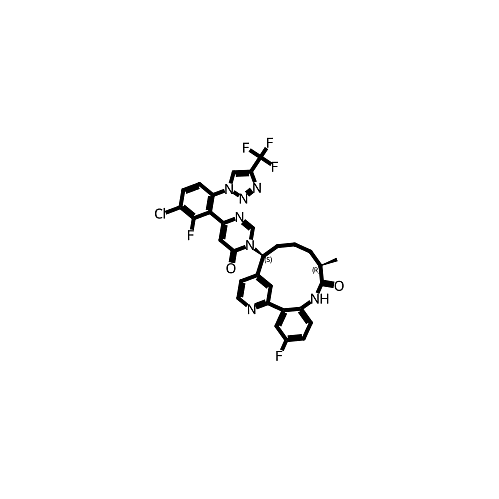 C[C@@H]1CCC[C@H](n2cnc(-c3c(-n4cc(C(F)(F)F)nn4)ccc(Cl)c3F)cc2=O)c2ccnc(c2)-c2cc(F)ccc2NC1=O